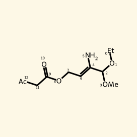 CCOC(OC)C(N)=CCOC(=O)CC(C)=O